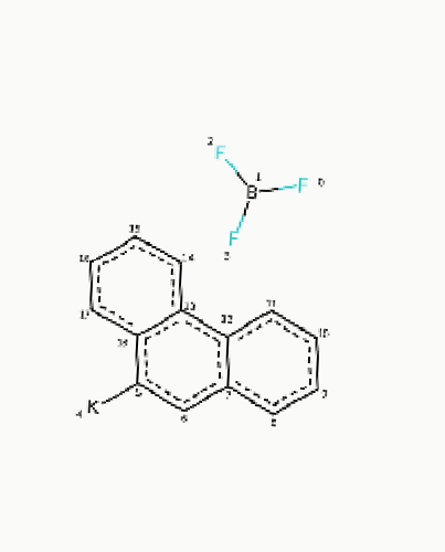 FB(F)F.[K][c]1cc2ccccc2c2ccccc12